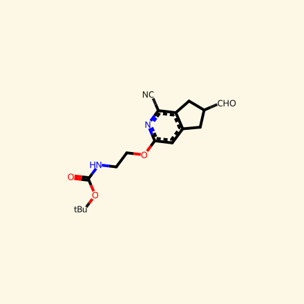 CC(C)(C)OC(=O)NCCOc1cc2c(c(C#N)n1)CC(C=O)C2